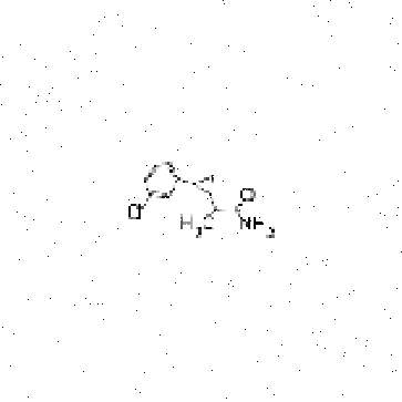 CC(C(N)=O)C1CC1c1cccc(Cl)c1